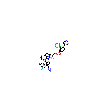 Cc1c(N2C(=O)C(C)(C)N(CCCOc3ccc(-c4ccncc4)c(Cl)c3)C2=S)ccc(C#N)c1C(F)(F)F